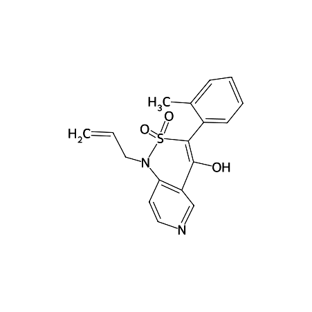 C=CCN1c2ccncc2C(O)=C(c2ccccc2C)S1(=O)=O